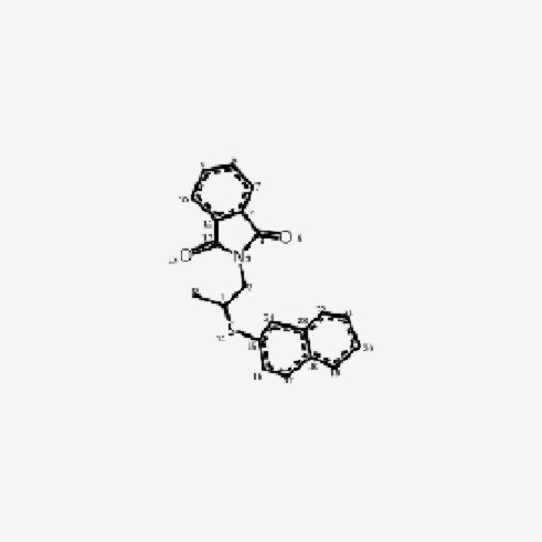 CC(CN1C(=O)c2ccccc2C1=O)Sc1ccc2ccccc2c1